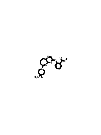 COC(=O)c1ccccc1SC1=NC2N=C(N3CCC(C)(N)CC3)CCCC2N=C1